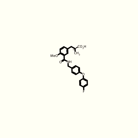 COc1ccc(C[C@H](C)C(=O)O)cc1C(=O)NCc1ccc(Oc2ccc(F)cc2)cc1